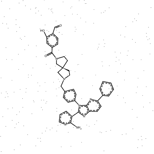 Nc1ncccc1-c1nc2ccc(-c3ccccc3)nc2n1-c1ccc(CN2CC[C@@]3(CCN(C(=O)c4ccc(C=O)c(O)c4)C3)C2)cc1